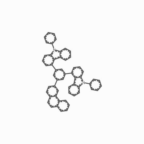 c1ccc(-n2c3ccccc3c3c(-c4cc(-c5ccc6ccc7ccccc7c6c5)cc(-c5cccc6c5c5ccccc5n6-c5ccccc5)c4)cccc32)cc1